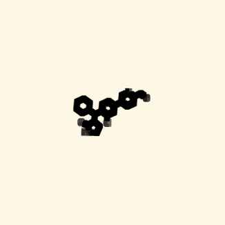 O=Cc1ccc(-c2ccc(C(C3CCCCC3)C3CCNC3=O)c(Cl)c2)cn1